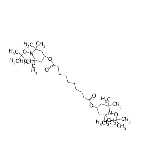 CC(C)(C)ON1C(C)(C)CC(OC(=O)CCCCCCCCC(=O)OC2CC(C)(C)N(OC(C)(C)C)C(C)(C)C2)CC1(C)C